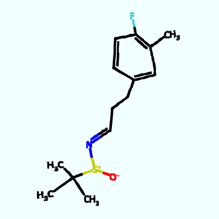 Cc1cc(CCC=N[S+]([O-])C(C)(C)C)ccc1F